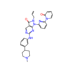 C=CCn1c(=O)c2cnc(Nc3cccc(C4CCN(C)CC4)c3)nc2n1-c1cccc(-n2ccccc2=O)n1